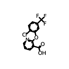 O=C(O)c1cccnc1Oc1cc(C(F)(F)F)ccc1Cl